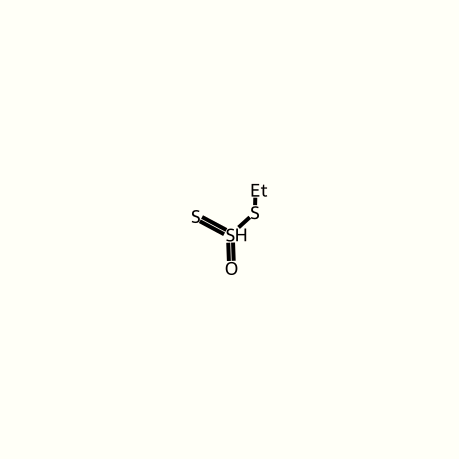 CCS[SH](=O)=S